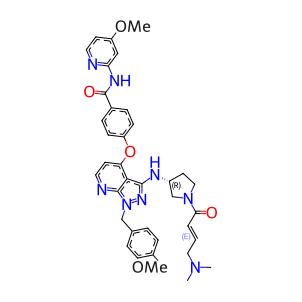 COc1ccc(Cn2nc(N[C@@H]3CCN(C(=O)/C=C/CN(C)C)C3)c3c(Oc4ccc(C(=O)Nc5cc(OC)ccn5)cc4)ccnc32)cc1